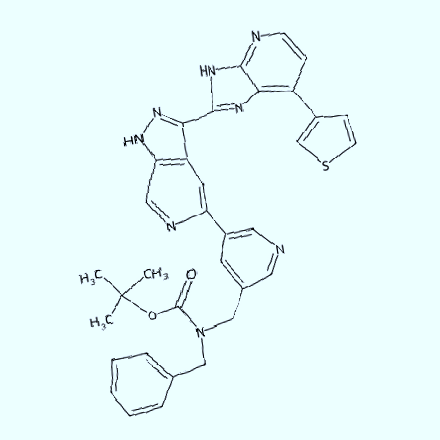 CC(C)(C)OC(=O)N(Cc1ccccc1)Cc1cncc(-c2cc3c(-c4nc5c(-c6ccsc6)ccnc5[nH]4)n[nH]c3cn2)c1